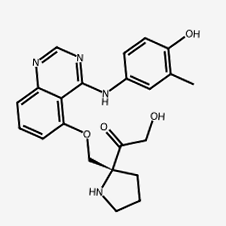 Cc1cc(Nc2ncnc3cccc(OC[C@@]4(C(=O)CO)CCCN4)c23)ccc1O